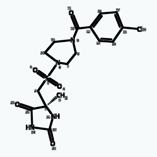 C[C@]1(CS(=O)(=O)N2CCN(C(=O)c3ccc(Cl)cc3)CC2)NC(=O)NC1=O